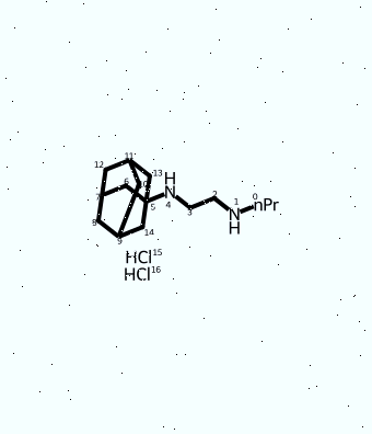 CCCNCCNC12CC3CC(CC(C3)C1)C2.Cl.Cl